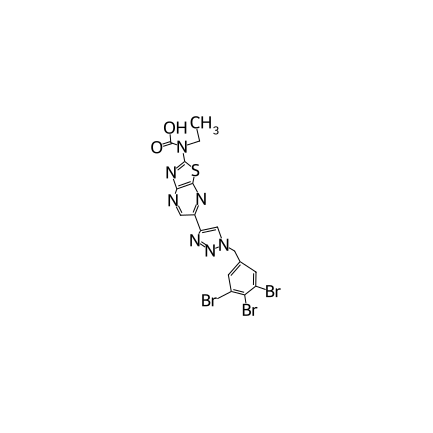 CCN(C(=O)O)c1nc2ncc(-c3cn(Cc4cc(Br)c(Br)c(Br)c4)nn3)nc2s1